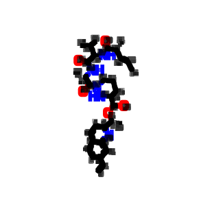 C=Cc1ccc2ccc([C@@H](C)OC(=O)C3CCCN(C(=O)[C@H](C)NC(=O)[C@@H](NC(=O)[C@H](C)/C=C/C)C(C)C)N3)nc2c1